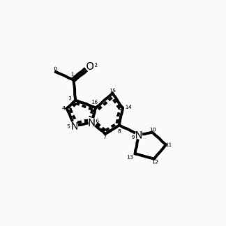 CC(=O)c1cnn2cc(N3CCCC3)ccc12